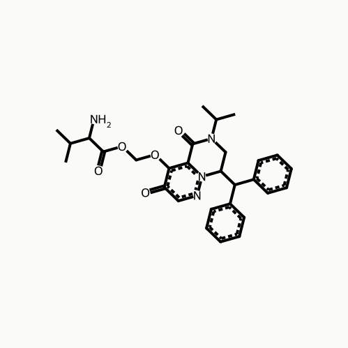 CC(C)C(N)C(=O)OCOc1c2n(ncc1=O)C(C(c1ccccc1)c1ccccc1)CN(C(C)C)C2=O